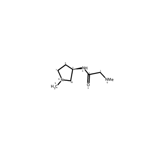 CNCC(=O)N[C@@H]1CCN(C)C1